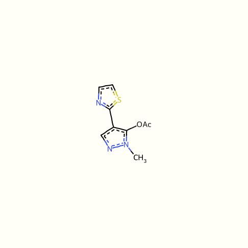 CC(=O)Oc1c(-c2nccs2)cnn1C